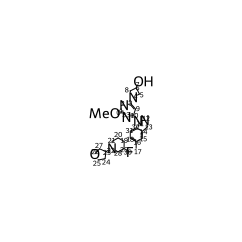 COc1nc(N2CC(O)C2)cc(-n2ncc3cc(C)c([C@H]4CCN(C5CCOC5)C[C@H]4F)cc32)n1